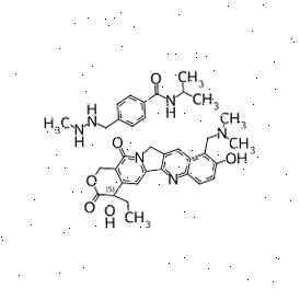 CC[C@@]1(O)C(=O)OCc2c1cc1n(c2=O)Cc2cc3c(CN(C)C)c(O)ccc3nc2-1.CNNCc1ccc(C(=O)NC(C)C)cc1